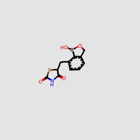 O=C1NC(=O)C(Cc2cccc3c2B(O)OC3)S1